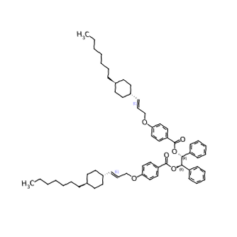 CCCCCCC[C@H]1CC[C@H](/C=C/COc2ccc(C(=O)O[C@H](c3ccccc3)[C@H](OC(=O)c3ccc(OC/C=C/[C@H]4CC[C@H](CCCCCCC)CC4)cc3)c3ccccc3)cc2)CC1